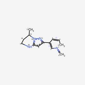 C=N/C=C(\C=C/C)c1cc2n(n1)C(C)CCN2